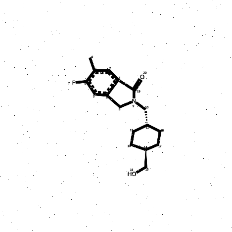 Cc1cc2c(cc1F)CN(C[C@H]1CC[C@H](CO)CC1)C2=O